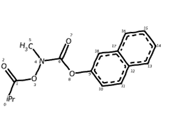 CC(C)C(=O)ON(C)C(=O)Oc1ccc2ccccc2c1